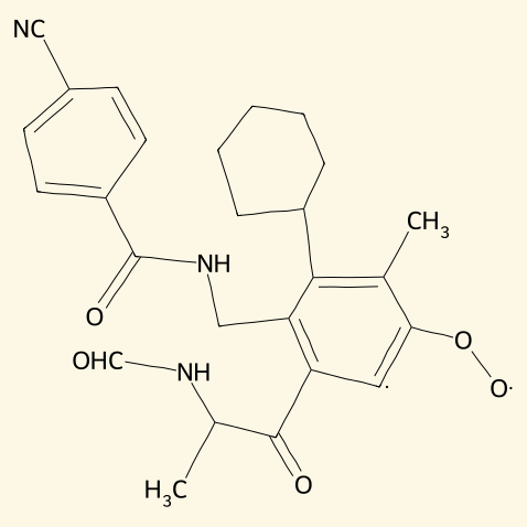 Cc1c(O[O])[c]c(C(=O)C(C)NC=O)c(CNC(=O)c2ccc(C#N)cc2)c1C1CCCCC1